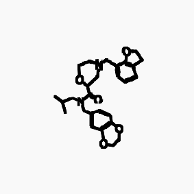 CC(C)CN(Cc1ccc2c(c1)OCCO2)C(=O)C1CN(Cc2cccc3c2OCC3)CCO1